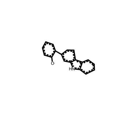 [O]c1ccccc1-c1ccc2c(c1)[nH]c1ccccc12